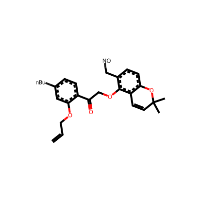 C=CCOc1cc(CCCC)ccc1C(=O)COc1c(CN=O)ccc2c1C=CC(C)(C)O2